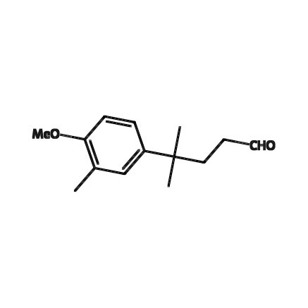 COc1ccc(C(C)(C)CCC=O)cc1C